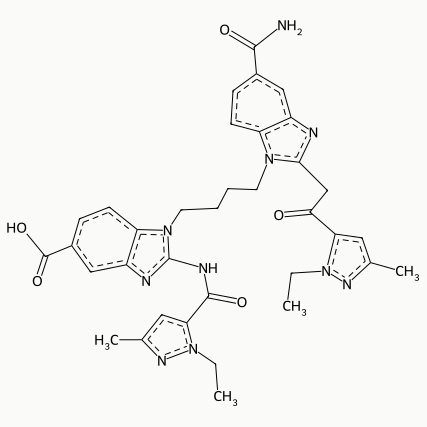 CCn1nc(C)cc1C(=O)Cc1nc2cc(C(N)=O)ccc2n1CCCCn1c(NC(=O)c2cc(C)nn2CC)nc2cc(C(=O)O)ccc21